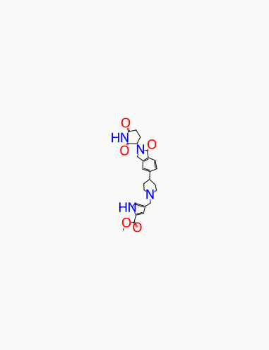 COC(=O)c1cc(CN2CCC(c3ccc4c(c3)CN(C3CCC(=O)NC3=O)C4=O)CC2)c[nH]1